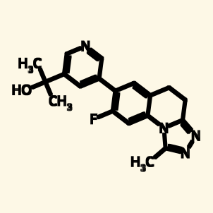 Cc1nnc2n1-c1cc(F)c(-c3cncc(C(C)(C)O)c3)cc1CC2